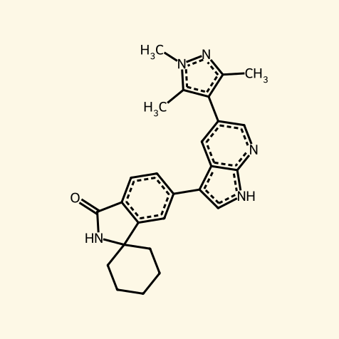 Cc1nn(C)c(C)c1-c1cnc2[nH]cc(-c3ccc4c(c3)C3(CCCCC3)NC4=O)c2c1